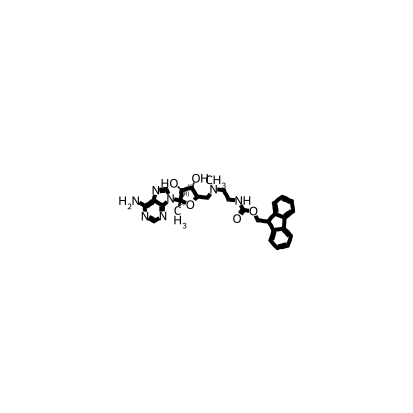 CN(CCNC(=O)OCC1c2ccccc2-c2ccccc21)CC1O[C@](C)(n2cnc3c(N)ncnc32)[C@H](O)[C@@H]1O